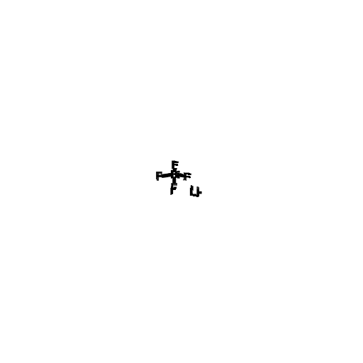 [F][Bi]([F])([F])[F].[Li]